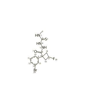 CNC(=S)NNC(=O)C1(c2cccc(Br)c2)CC(F)C1